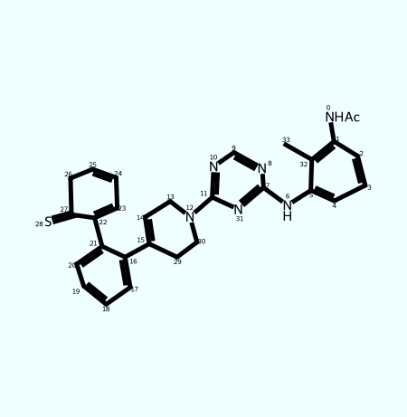 CC(=O)Nc1cccc(Nc2ncnc(N3CC=C(c4ccccc4C4=CC=CCC4=S)CC3)n2)c1C